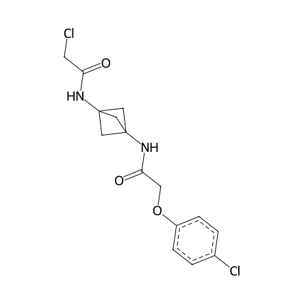 O=C(CCl)NC12CC(NC(=O)COc3ccc(Cl)cc3)(C1)C2